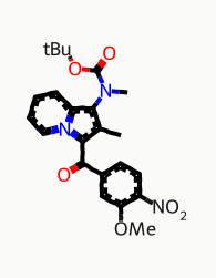 COc1cc(C(=O)c2c(C)c(N(C)C(=O)OC(C)(C)C)c3ccccn23)ccc1[N+](=O)[O-]